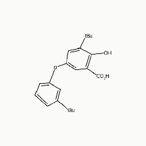 CCC(C)c1cccc(Oc2cc(C(=O)O)c(O)c(C(C)(C)C)c2)c1